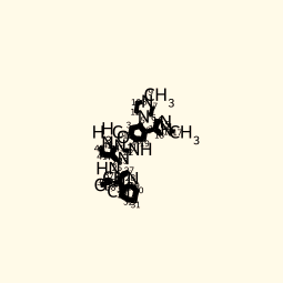 COc1cc(N2CCN(C)CC2)c(-c2cnn(C)c2)cc1Nc1nc(Nc2cnc3ccccc3c2P(C)(C)=O)c2cc[nH]c2n1